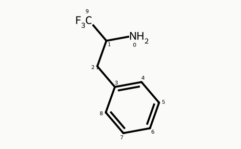 NC([CH]c1ccccc1)C(F)(F)F